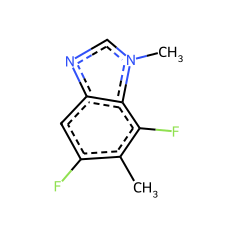 Cc1c(F)cc2ncn(C)c2c1F